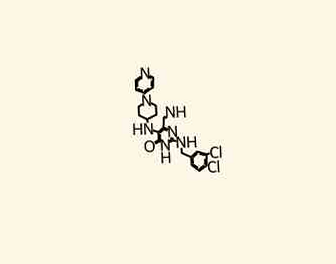 N=Cc1nc(NCc2ccc(Cl)c(Cl)c2)[nH]c(=O)c1NC1CCN(c2ccncc2)CC1